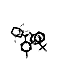 O=C(c1ccc(F)cc1-c1ncccn1)N1[C@@H]2CC[C@H]1[C@H](Oc1cnc(C(F)(F)F)cn1)C2